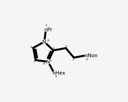 CCCCCCCCCCCc1n(CCC)cc[n+]1CCCCCC